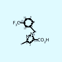 Cc1cc(C(=O)O)n(Cc2cccc(C(F)(F)F)c2)n1